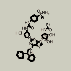 CCC(=O)N[C@H]1C[C@@H](n2cnc3c(NCC(c4ccccc4)c4ccccc4)nc(N4CCC(NC(=O)Nc5ccc(S(N)(=O)=O)cc5)C4)nc32)[C@H](O)[C@@H]1O.Cl